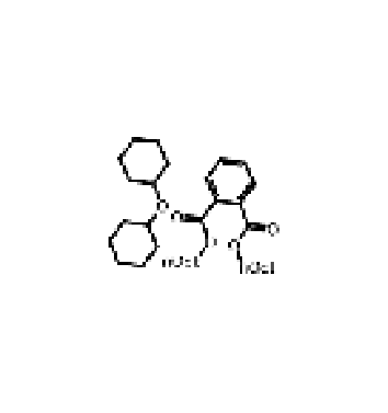 C1CCC(OC2CCCCC2)CC1.CCCCCCCCOC(=O)c1ccccc1C(=O)OCCCCCCCC